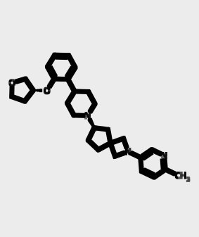 Cc1ccc(N2CC3(CC[C@@H](N4CCC(c5ccccc5O[C@@H]5CCOC5)CC4)C3)C2)cn1